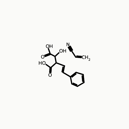 C=CC#N.O=C(O)C(O)C(C=Cc1ccccc1)C(=O)O